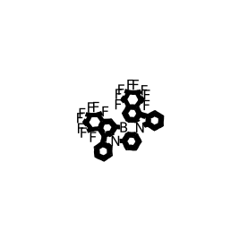 FC1(F)c2cc3c4c(c2C(F)(F)C(F)(F)C1(F)F)c1ccccc1n4-c1cccc2c1B3c1cc3c(c4c5ccccc5n-2c14)C(F)(F)C(F)(F)C(F)(F)C3(F)F